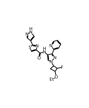 CCOC1CC(n2cc(NC(=O)c3csc(-c4cn[nH]c4)n3)c(-c3ccccn3)n2)C1F